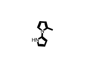 Cc1cccn1-c1ccc[nH]1